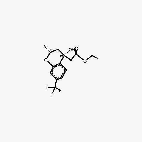 CCOC(=O)C[C@]1(O)C[C@@H](C)Oc2cc(C(F)(F)F)ccc21